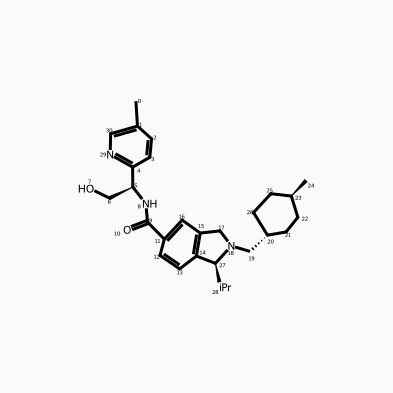 Cc1ccc([C@H](CO)NC(=O)c2ccc3c(c2)CN(C[C@H]2CC[C@H](C)CC2)[C@H]3C(C)C)nc1